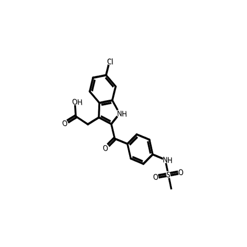 CS(=O)(=O)Nc1ccc(C(=O)c2[nH]c3cc(Cl)ccc3c2CC(=O)O)cc1